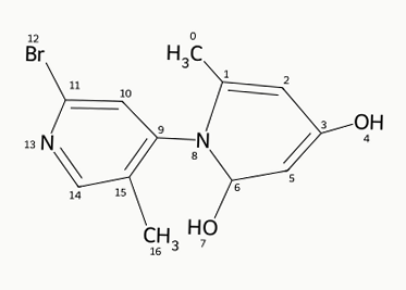 CC1=CC(O)=CC(O)N1c1cc(Br)ncc1C